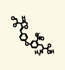 NC(Cc1ccc(Oc2ccc(C=C3OCNC3C(=O)C=O)cc2)cc1[N+](=O)[O-])C(=O)O